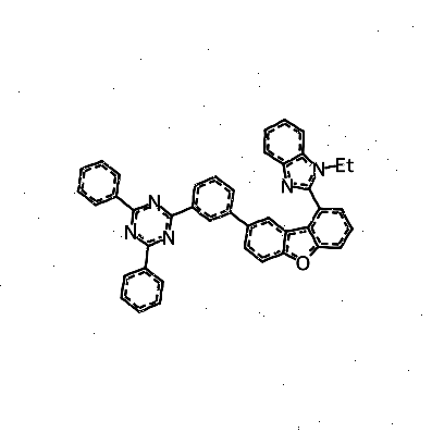 CCn1c(-c2cccc3oc4ccc(-c5cccc(-c6nc(-c7ccccc7)nc(-c7ccccc7)n6)c5)cc4c23)nc2ccccc21